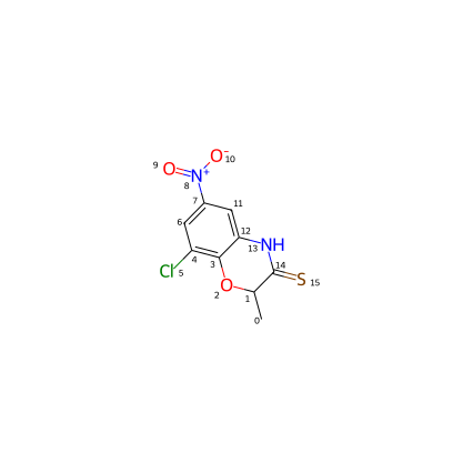 CC1Oc2c(Cl)cc([N+](=O)[O-])cc2NC1=S